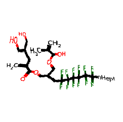 C=C(CC(CO)CO)C(=O)OCC(COC(O)C(=C)C)CC(F)(F)C(F)(F)C(F)(F)C(F)(F)C(F)(F)C(F)(F)CCCCCCC